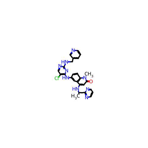 CC(Nc1cc(=O)n(C)c2ccc(Nc3nc(NCc4cccnc4)ncc3Cl)cc12)c1ncccn1